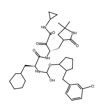 CC1(C)CC(C[C@H](NC(=O)[C@H](CC2CCCCC2)NC(O)OC2CCCC2Cc2cccc(Cl)c2)C(=O)C(=O)NC2CC2)C(=O)N1